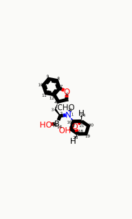 O=CN([C@H](C[C@H]1COc2ccccc21)B(O)O)[C@H]1C[C@@H]2CC[C@H]1O2